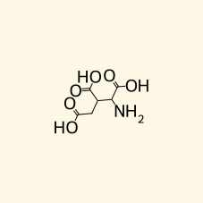 NC(C(=O)O)C(CC(=O)O)C(=O)O